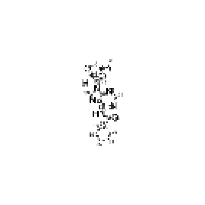 CC[C@]12CO[C@@H](C1C)[C@H](n1cnc3c(NC(=O)c4ccccc4)ncnc31)O2